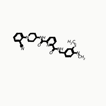 C=Nc1ccc(CNC(=O)c2cccc(C(=O)NC3CCN(c4ccccc4C#N)CC3)n2)cc1SC